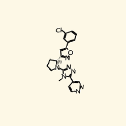 Cn1c(-c2ccnnc2)nnc1N1CCC[C@@H]1c1cc(-c2cccc(Cl)c2)on1